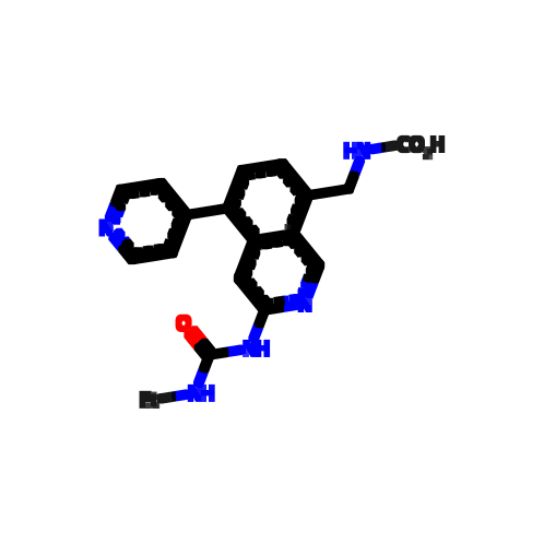 CCNC(=O)Nc1cc2c(-c3ccncc3)ccc(CNC(=O)O)c2cn1